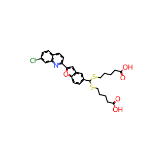 O=C(O)CCCCSC(SCCCCC(=O)O)c1ccc2oc(-c3ccc4ccc(Cl)cc4n3)cc2c1